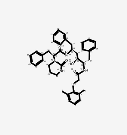 Cc1cccc(C)c1OCC(=O)N[C@@H](Cc1ccccc1)[C@@H](O)C[C@H](Cc1ccccc1)NC(=O)[C@H](Cc1ccccc1)N1CCCNC1=O